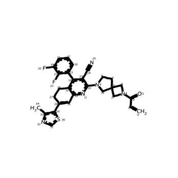 C=CC(=O)N1CC2(CCN(c3nc4c(c(-c5cccc(F)c5F)c3C#N)CCC(c3scnc3C)=C4)C2)C1